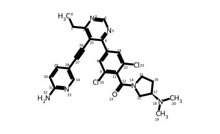 CCc1ncnc(-c2cc(Cl)c(C(=O)N3CC[C@@H](N(C)C)C3)c(Cl)c2)c1C#Cc1ccc(N)nc1